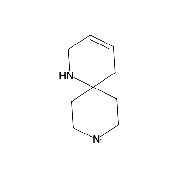 C1=CCC2(CC[N]CC2)NC1